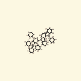 c1ccc(-c2nc(-n3c4ccccc4c4c3ccc3c5ccccc5n(-c5ccccc5)c34)nc3c2-c2ccccc2[Si]3(c2ccccc2)c2ccccc2)cc1